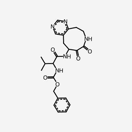 CC(C)C(NC(=O)OCc1ccccc1)C(=O)NC1Cc2cncnc2CCNC(=O)C1=O